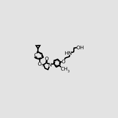 Cc1cc(N2CC[C@H](Oc3ccc(C4CC4)cc3)C2=O)ccc1OCCNCCO